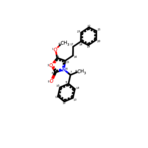 COc1oc(=O)n(C(C)c2ccccc2)c1CCc1ccccc1